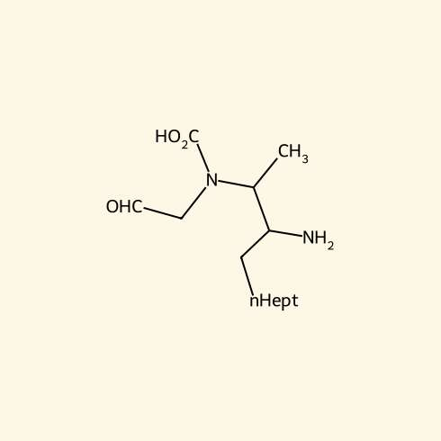 CCCCCCCCC(N)C(C)N(CC=O)C(=O)O